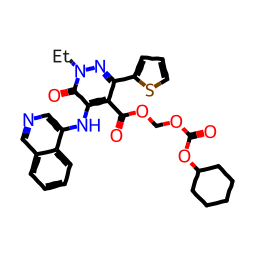 CCn1nc(-c2cccs2)c(C(=O)OCOC(=O)OC2CCCCC2)c(Nc2cncc3ccccc23)c1=O